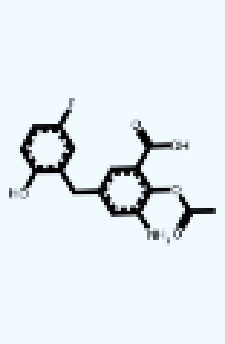 CC(=O)Oc1c(N)cc(Cc2cc(F)ccc2O)cc1C(=O)O